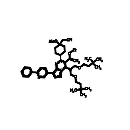 C=C(OCC)c1c(N(COCC[Si](C)(C)C)COCC[Si](C)(C)C)n2ncc(-c3ccc(-c4ccccc4)nc3)c2nc1[C@H]1CC[C@](CO)(OC)CC1